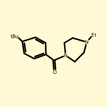 CCN1CCN(C(=O)c2ccc(C(C)(C)C)cc2)CC1